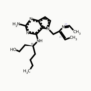 C/C=N\C(=C/C)Cn1ccc2nc(N)nc(N[C@H](CCO)CCCC)c21